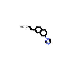 O=C(O)C=Cc1ccc2c(c1)CC(n1ccnc1)CC2